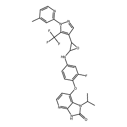 Cc1ccnc(-n2ncc(C3OC3Nc3ccc(Oc4ccnc5[nH]c(=O)n(C(C)C)c45)c(F)c3)c2C(F)(F)F)c1